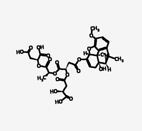 COc1ccc2c3c1O[C@@H]1C(OC(=O)C[C@H](OC(=O)C[C@H](O)C(=O)O)C(=O)O[C@@H](C)C(=O)O[C@@H](CC(=O)O)C(=O)O)=CC[C@]4(O)[C@H](C2)N(C)CC[C@@]314